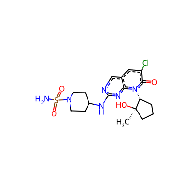 C[C@@]1(O)CCC[C@H]1n1c(=O)c(Cl)cc2cnc(NC3CCN(S(N)(=O)=O)CC3)nc21